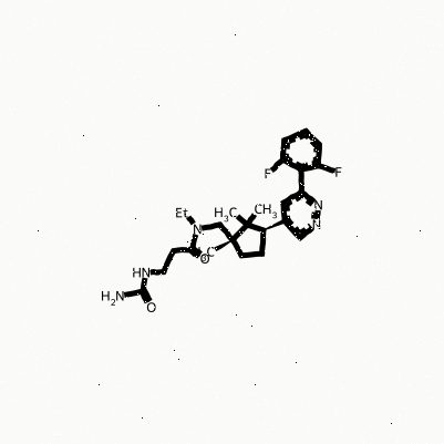 CCN(C[C@@]1(C)CC[C@H](c2cnnc(-c3c(F)cccc3F)c2)C1(C)C)C(=O)CCNC(N)=O